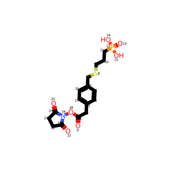 O=C(Cc1ccc(CSCCCP(=O)(O)O)cc1)ON1C(=O)CCC1=O